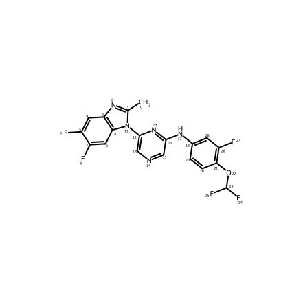 Cc1nc2cc(F)c(F)cc2n1-c1cncc(Nc2ccc(OC(F)F)c(F)c2)n1